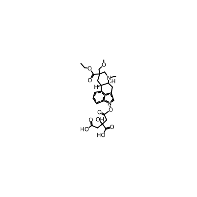 CCOC(=O)C1(COC)C[C@H]2c3cccc4c3c(cn4OC(=O)CC(O)(CC(=O)O)C(=O)O)C[C@@H]2N(C)C1